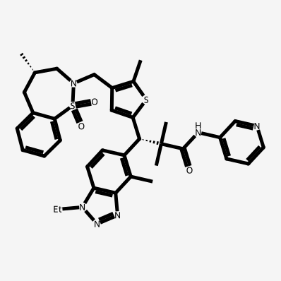 CCn1nnc2c(C)c([C@H](c3cc(CN4C[C@@H](C)Cc5ccccc5S4(=O)=O)c(C)s3)C(C)(C)C(=O)Nc3cccnc3)ccc21